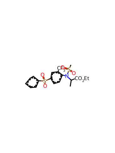 CCOC(=O)C(C)N(c1ccc(S(=O)(=O)c2ccccc2)cc1C(F)(F)F)S(C)(=O)=O